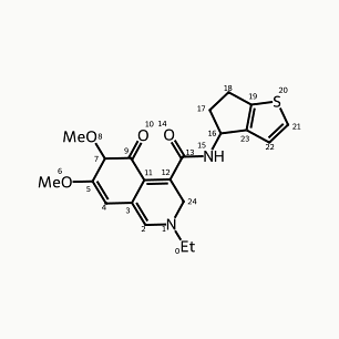 CCN1C=C2C=C(OC)C(OC)C(=O)C2=C(C(=O)NC2CCc3sccc32)C1